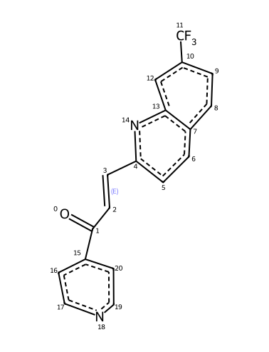 O=C(/C=C/c1ccc2ccc(C(F)(F)F)cc2n1)c1ccncc1